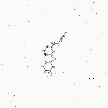 CC#CCOc1cc(OC2CCCC(C)C2)ncn1